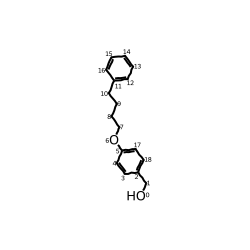 OCc1ccc(OCCCCc2ccccc2)cc1